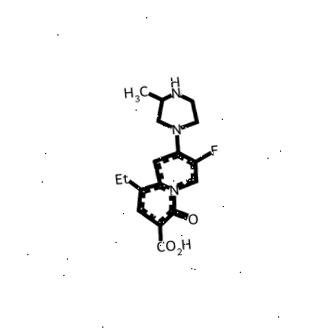 CCc1cc(C(=O)O)c(=O)n2cc(F)c(N3CCNC(C)C3)cc12